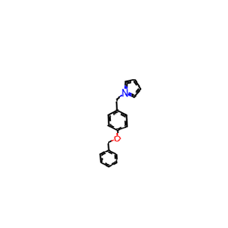 c1ccc(COc2ccc(Cn3cccc3)cc2)cc1